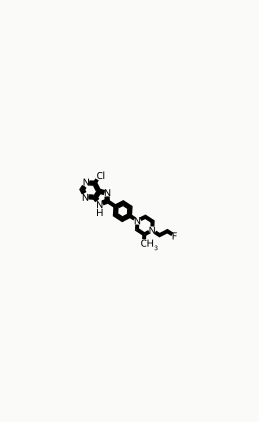 CC1CN(c2ccc(-c3nc4c(Cl)ncnc4[nH]3)cc2)CCN1CCF